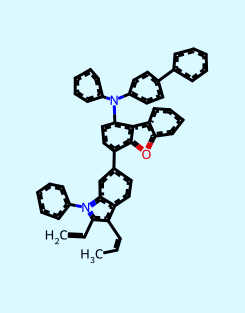 C=Cc1c(/C=C\C)c2ccc(-c3ccc(N(c4ccccc4)c4ccc(-c5ccccc5)cc4)c4c3oc3ccccc34)cc2n1-c1ccccc1